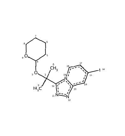 CC(C)(OC1CCCCO1)c1nnc2cc(I)ccn12